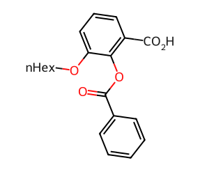 CCCCCCOc1cccc(C(=O)O)c1OC(=O)c1ccccc1